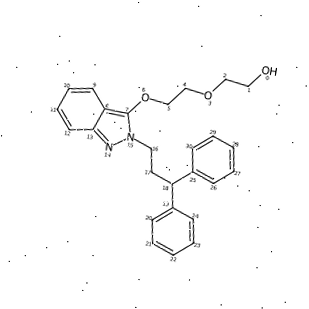 OCCOCCOc1c2ccccc2nn1CCC(c1ccccc1)c1ccccc1